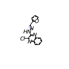 Clc1nc2ccccc2nc1N/N=C/c1ccco1